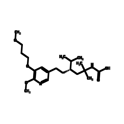 COCCCOc1cc(CC[C@@H](CC(C)(C)NC(=O)O)C(C)C)cnc1OC